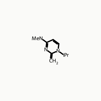 C=C1N=C(NC)C=CN1C(C)C